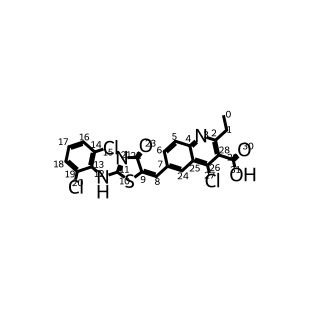 CCc1nc2ccc(C=C3SC(Nc4c(Cl)cccc4Cl)=NC3=O)cc2c(Cl)c1C(=O)O